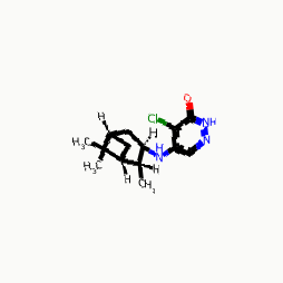 C[C@@H]1[C@H]2C[C@@H](C[C@H]1Nc1cn[nH]c(=O)c1Cl)C2(C)C